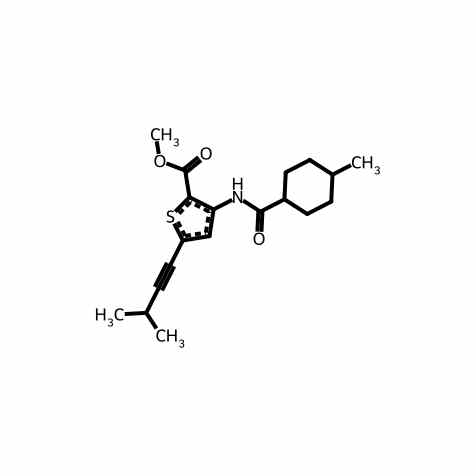 COC(=O)c1sc(C#CC(C)C)cc1NC(=O)C1CCC(C)CC1